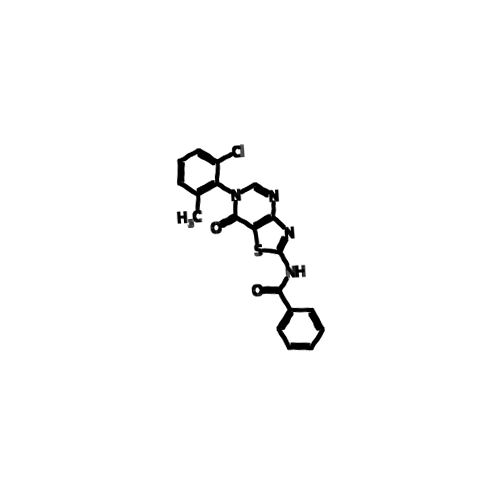 Cc1cccc(Cl)c1-n1cnc2nc(NC(=O)c3ccccc3)sc2c1=O